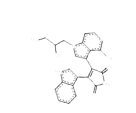 O=C1NC(=O)C(c2cn(CC(O)CO)c3cccc(C(F)(F)F)c23)=C1c1c[nH]c2ccccc12